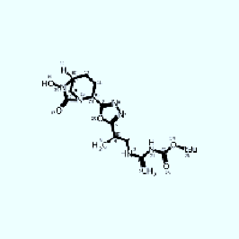 C=C(NC[C@@H](C)c1nnc([C@@H]2CC[C@@H]3CN2C(=O)N3O)o1)NC(=O)OC(C)(C)C